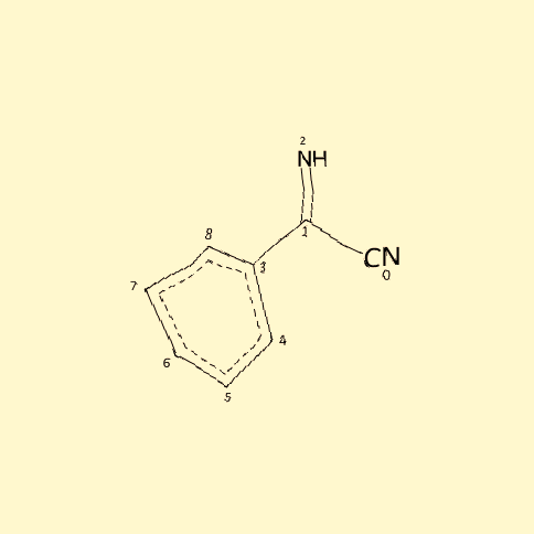 N#CC(=N)c1ccccc1